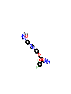 C[CH]C(C)n1ncn(-c2ccc(N3CCN(c4ccc(OCC5COC(Cn6cncn6)(c6ccc(F)cc6F)O5)cc4)CC3)cc2)c1=O